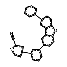 N#Cc1cc(-c2cccc(-c3ccc4oc5ccc(-c6ccccc6)cc5c4c3)c2)ccn1